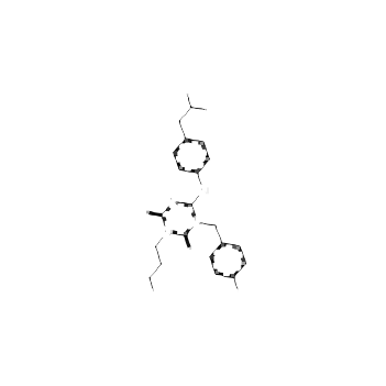 CC(C)Cc1ccc(Nc2nc(=O)n(CCCO)c(=O)n2Cc2ccc(Cl)cc2)cc1